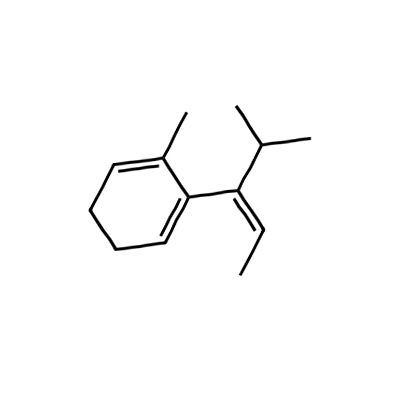 C/C=C(\C1=CCCC=C1C)C(C)C